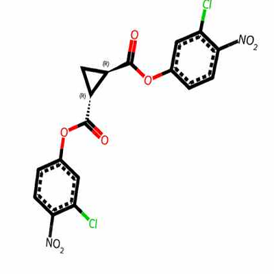 O=C(Oc1ccc([N+](=O)[O-])c(Cl)c1)[C@@H]1C[C@H]1C(=O)Oc1ccc([N+](=O)[O-])c(Cl)c1